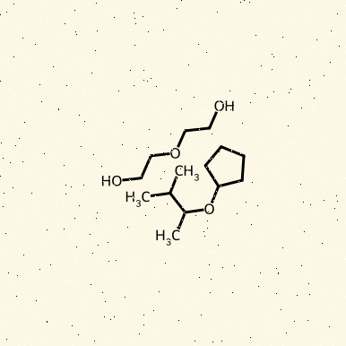 CC(C)C(C)OC1CCCC1.OCCOCCO